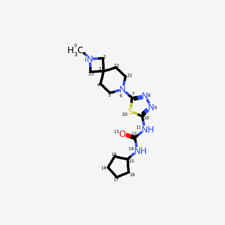 CN1CC2(CCN(c3nnc(NC(=O)NC4CCCC4)s3)CC2)C1